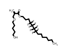 C=C(COCCCCCO)C(=O)OCCCC(F)(F)C(F)(F)C(F)(F)C(F)(F)CCCCCCC